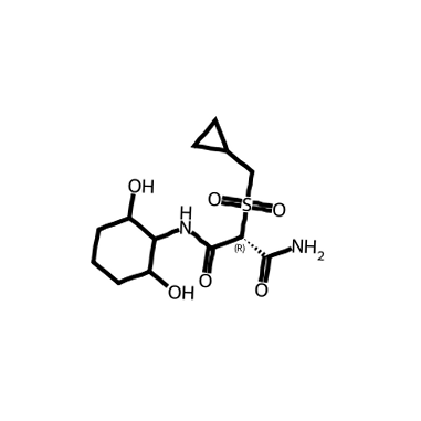 NC(=O)[C@H](C(=O)NC1C(O)CCCC1O)S(=O)(=O)CC1CC1